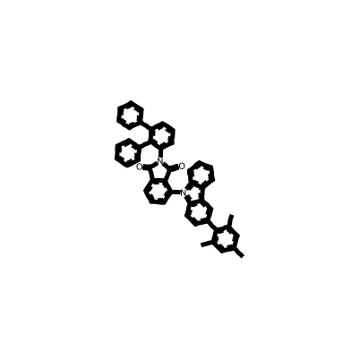 Cc1cc(C)c(-c2ccc3c(c2)c2ccccc2n3-c2cccc3c2C(=O)N(c2cccc(-c4ccccc4)c2-c2ccccc2)C3=O)c(C)c1